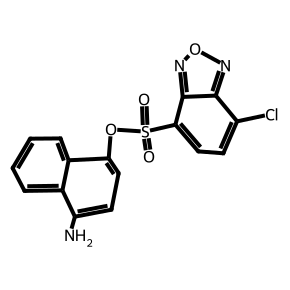 Nc1ccc(OS(=O)(=O)c2ccc(Cl)c3nonc23)c2ccccc12